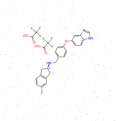 Fc1ccc2c(c1)C[C@H](NCc1ccc(Oc3ccc4[nH]cnc4c3)cc1)C2.O=C(O)C(F)(F)F.O=C(O)C(F)(F)F